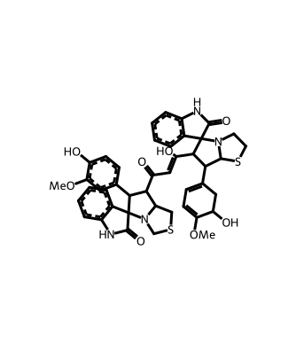 COC1=CC=C(C2C3SCCN3C3(C(=O)Nc4ccccc43)C2/C(O)=C/C(=O)C2C3CSCN3C3(C(=O)Nc4ccccc43)C2c2ccc(O)c(OC)c2)CC1O